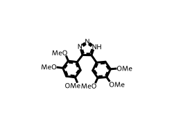 COc1cc(OC)c(OC)c(-c2nn[nH]c2-c2cc(OC)c(OC)c(OC)c2)c1